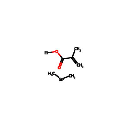 C=C(C)C(=O)OCC.[CH3][Sn][CH3]